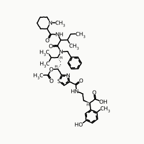 CCC(C)C(NC(=O)C1CCCCN1C)C(=O)N(Cc1ccccc1)[C@H](C[C@@H](OC(C)=O)c1nc(C(=O)NCC[C@@H](C(=O)O)c2cc(O)ccc2C)cs1)C(C)C